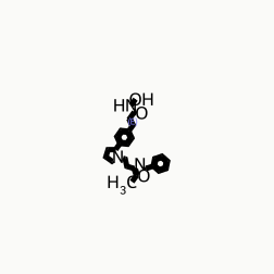 Cc1oc(-c2ccccc2)nc1CCN1CCCC1c1ccc(/C=C/C(=O)NO)cc1